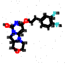 O=c1nc(OCCc2ccc(F)c(F)c2)cc2n1CC1COCCN21